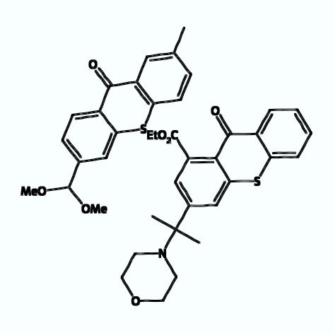 CCOC(=O)c1cc(C(C)(C)N2CCOCC2)cc2sc3ccccc3c(=O)c12.COC(OC)c1ccc2c(=O)c3cc(C)ccc3sc2c1